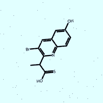 CC(C(O)=S)c1nc2ccc(O)cc2cc1Br